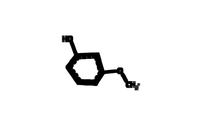 [CH2]Oc1cccc(O)c1